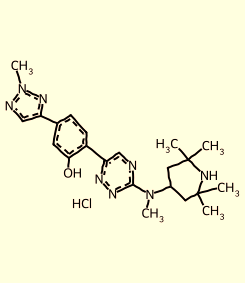 CN(c1ncc(-c2ccc(-c3cnn(C)n3)cc2O)nn1)C1CC(C)(C)NC(C)(C)C1.Cl